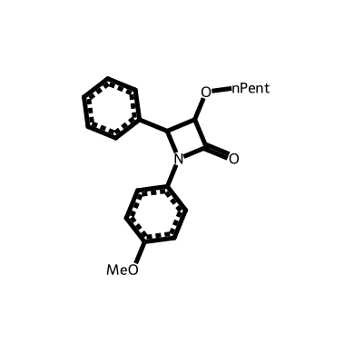 CCCCCOC1C(=O)N(c2ccc(OC)cc2)C1c1ccccc1